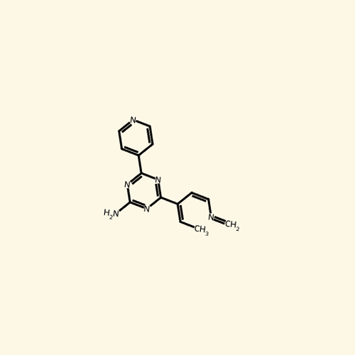 C=N/C=C\C(=C/C)c1nc(N)nc(-c2ccncc2)n1